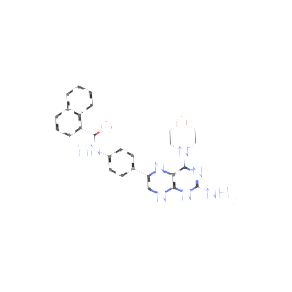 Nc1nc(N2CCOCC2)c2nc(-c3ccc(NC(=O)c4cccc5ccccc45)cc3)cnc2n1